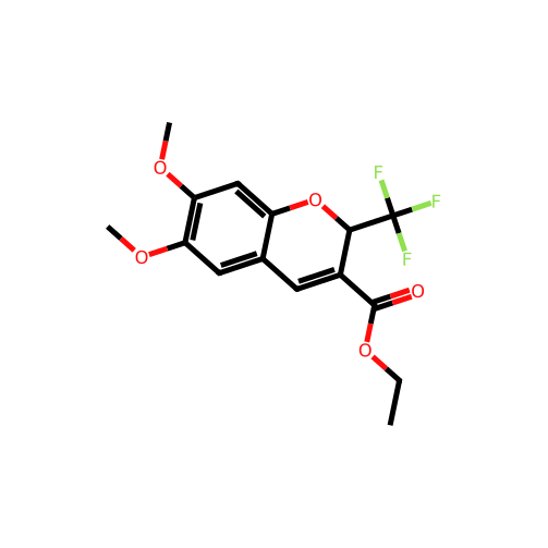 CCOC(=O)C1=Cc2cc(OC)c(OC)cc2OC1C(F)(F)F